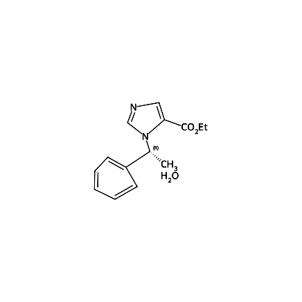 CCOC(=O)c1cncn1[C@H](C)c1ccccc1.O